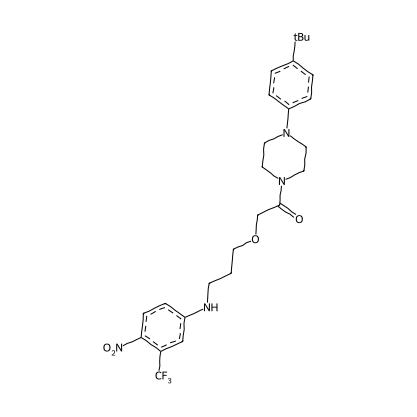 CC(C)(C)c1ccc(N2CCN(C(=O)COCCCNc3ccc([N+](=O)[O-])c(C(F)(F)F)c3)CC2)cc1